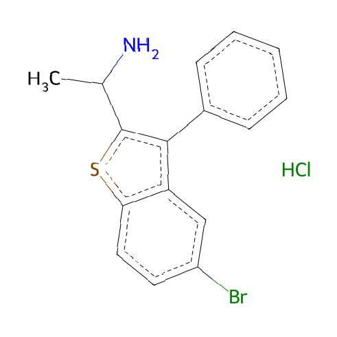 CC(N)c1sc2ccc(Br)cc2c1-c1ccccc1.Cl